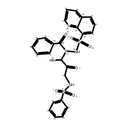 CCCCC(C(=O)CNS(=O)(=O)c1ccccc1)N(NS(=O)(=O)c1cccc2cccnc12)C(=O)c1ccccc1